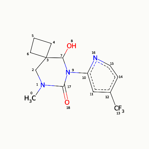 CN1CC2(CCC2)C(O)N(c2cc(C(F)(F)F)ccn2)C1=O